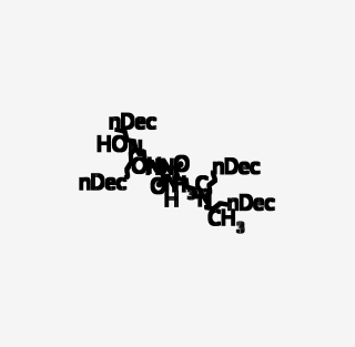 CCCCCCCCCCCCC(C)CN(CCCCC1NC(=O)C(CCCCN(CC(O)CCCCCCCCCCCC)CC(O)CCCCCCCCCCCC)NC1=O)CC(C)CCCCCCCCCCCC